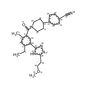 CCc1cc(C)c(C(=O)N2CCC(c3ccc(C#N)cc3)CC2)cc1-c1nnc(CCOC)[nH]1